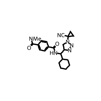 CNC(=O)c1ccc(C(=O)NC(C2CCCCC2)C2CN(C3(C#N)CC3)N=N2)cc1